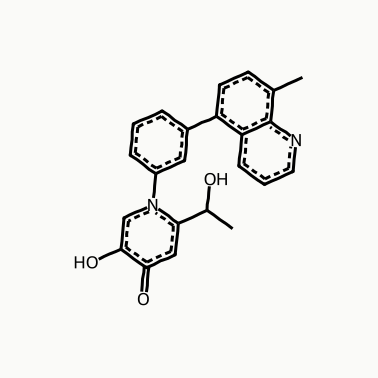 Cc1ccc(-c2cccc(-n3cc(O)c(=O)cc3C(C)O)c2)c2cccnc12